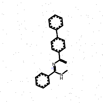 C=C(/N=C(\NC)c1ccccc1)c1ccc(-c2ccccc2)cc1